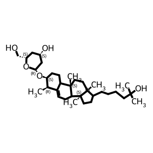 C[C@@H]1C2=CCC3[C@@](C)(CC[C@]4(C)C(CCCCC(C)(C)O)CC[C@@]34C)C2CC[C@@H]1O[C@H]1C[C@@H](O)C[C@@H](CO)O1